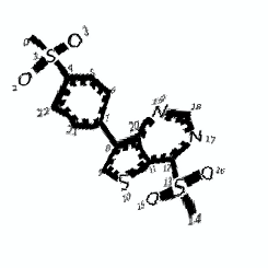 CS(=O)(=O)c1ccc(-c2csc3c(S(C)(=O)=O)ncnc23)cc1